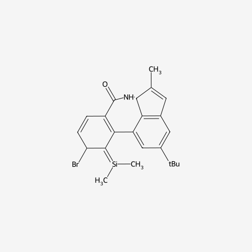 CC1=Cc2cc(C(C)(C)C)cc(C3=C(C([NH])=O)C=CC(Br)C3=[Si](C)C)c2C1